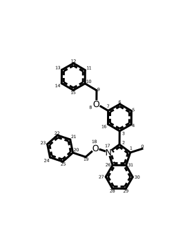 Cc1c(-c2cccc(OCc3ccccc3)c2)n(OCc2ccccc2)c2ccccc12